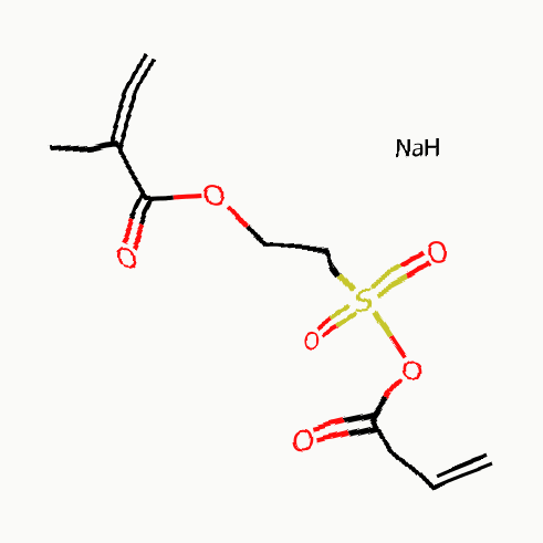 C=CC(=O)OS(=O)(=O)CCOC(=O)C(=C)C.[NaH]